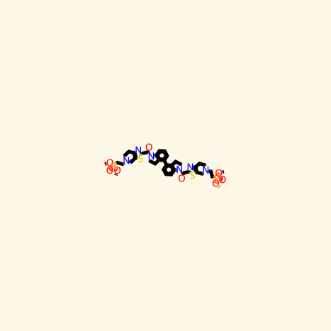 COP(=O)(CCN1CCc2nc(C(=O)N3CCc4c(-c5cccc6c5CCN6C(=O)c5nc6c(s5)CN(CCP(=O)(OC)OC)CC6)cccc43)sc2C1)OC